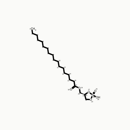 CCCCCCCCCCCCCCCCCC(=O)OC[C@@H]1COP(=O)(O)O1